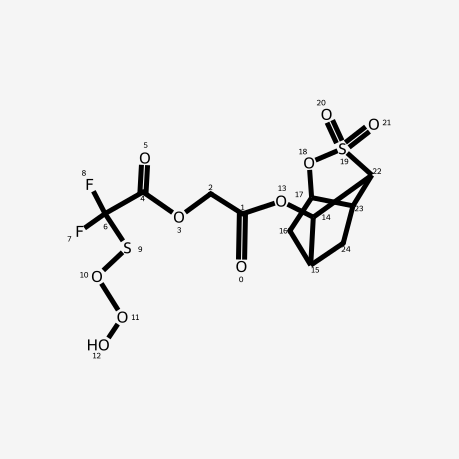 O=C(COC(=O)C(F)(F)SOOO)OC1C2CC3OS(=O)(=O)C1C3C2